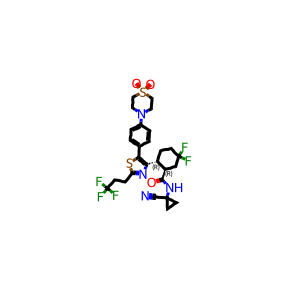 N#CC1(NC(=O)[C@@H]2CC(F)(F)CC[C@H]2c2nc(CCC(F)(F)F)sc2-c2ccc(N3CCS(=O)(=O)CC3)cc2)CC1